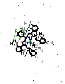 CCCB(F)n1c(/C=C/C2=C(C)CC(C)C=C2C)c(-c2c(C)cccc2C)c(C)c1/C(=C1N=C(/C=C/c2c(C)cc(C)cc2C)C(C2=C(C)C(C)CC=C2C)=C\1C)c1c(F)c(F)c(F)c(F)c1F